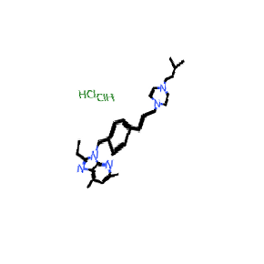 CCc1nc2c(C)cc(C)nc2n1Cc1ccc(/C=C/CN2CCN(CCC(C)C)CC2)cc1.Cl.Cl